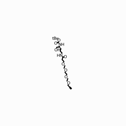 C#CCOCCOCCOCCOCCC(=O)NCCC[C@@H](CO)NC(=O)OC(C)(C)C